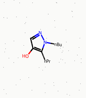 CCCCn1ncc(O)c1CCC